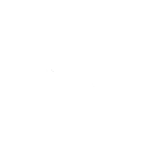 Cc1cc(C(=O)O)cc(C)c1N